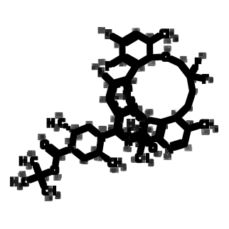 CC(C)C1=C2C(CCC(F)(F)COC3C(=C(F)C(F)=CC3C)c3nc4c(cc3F)c(N3C[C@@H](C)N(C(=O)OC(C)(C)C)C[C@@H]3C)nc(=O)n42)C(C)C=N1